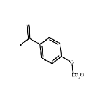 C=C(C)c1ccc(OC(=O)OCC)cc1